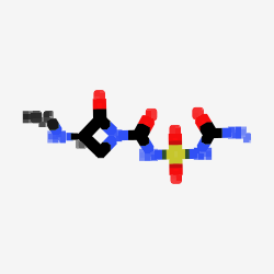 NC(=O)NS(=O)(=O)NC(=O)N1C[C@H](NC(=O)O)C1=O